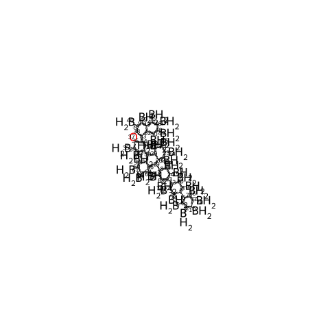 Bc1c(B)c(B)c(-c2c(B)c(B)c(-c3c(B)c(B)c(-c4c5c(B)c(B)c(B)c(B)c5c(-c5c(B)c(B)c6oc7c(B)c(B)c8c(B)c(B)c(B)c(B)c8c7c6c5B)c5c(B)c(B)c(B)c(B)c45)c(B)c3B)c(B)c2B)c(B)c1B